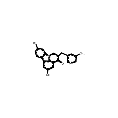 Cc1cncc(Cc2cn3c4cc(Br)ccc4c4cc(O)cc(c2=O)c43)c1